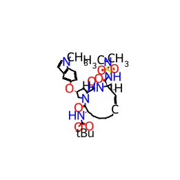 CN(C)S(=O)(=O)NC(=O)[C@@]12C[C@H]1/C=C\CCCCC[C@H](NC(=O)OC(C)(C)C)C(=O)N1C[C@H](Oc3ccc4c(ccn4C)c3)C[C@H]1C(=O)N2